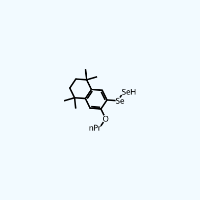 CCCOc1cc2c(cc1[Se][SeH])C(C)(C)CCC2(C)C